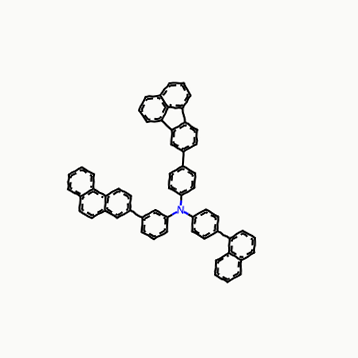 c1cc(-c2ccc3c(ccc4ccccc43)c2)cc(N(c2ccc(-c3ccc4c(c3)-c3cccc5cccc-4c35)cc2)c2ccc(-c3cccc4ccccc34)cc2)c1